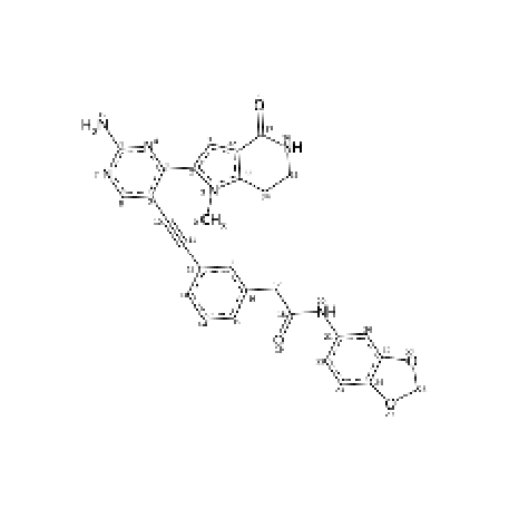 Cn1c(-c2nc(N)ncc2C#Cc2cccc(CC(=O)Nc3ccc4c(c3)OCO4)c2)cc2c1CCNC2=O